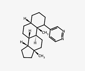 C[C@@]12CCC[C@@H]1[C@@H]1CC[C@@H]3CCCC(c4ccnnc4)[C@]3(C)[C@H]1CC2